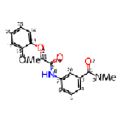 CNC(=O)c1cccc(NC(=O)COc2ccccc2OC)c1